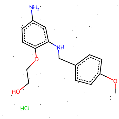 COc1ccc(CNc2cc(N)ccc2OCCO)cc1.Cl